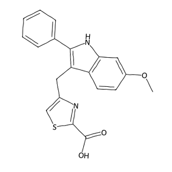 COc1ccc2c(Cc3csc(C(=O)O)n3)c(-c3ccccc3)[nH]c2c1